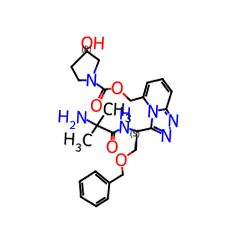 CC(C)(N)C(=O)N[C@H](COCc1ccccc1)c1nnc2cccc(COC(=O)N3CC[C@@H](O)C3)n12